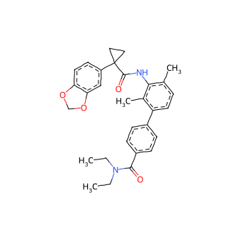 CCN(CC)C(=O)c1ccc(-c2ccc(C)c(NC(=O)C3(c4ccc5c(c4)OCO5)CC3)c2C)cc1